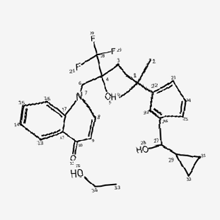 CC(C)(CC(O)(Cn1ccc(=O)c2ccccc21)C(F)(F)F)c1cccc(C(O)C2CC2)c1.CCO